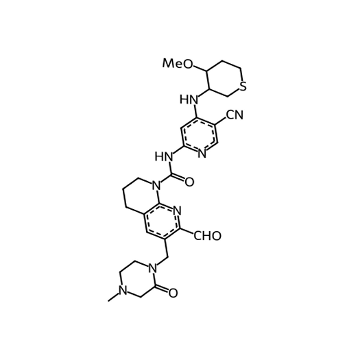 COC1CCSCC1Nc1cc(NC(=O)N2CCCc3cc(CN4CCN(C)CC4=O)c(C=O)nc32)ncc1C#N